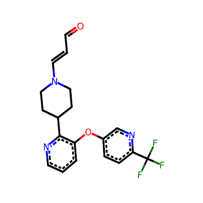 O=CC=CN1CCC(c2ncccc2Oc2ccc(C(F)(F)F)nc2)CC1